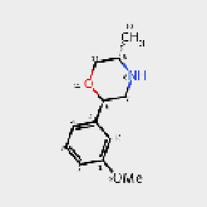 COc1cccc([C@@H]2CN[C@@H](C)CO2)c1